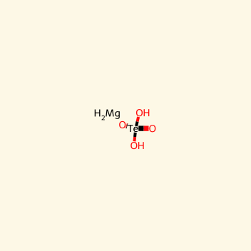 O=[Te](=O)(O)O.[MgH2]